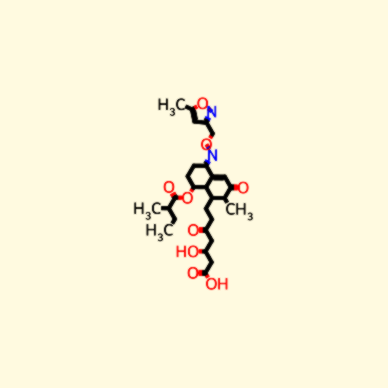 CCC(C)C(=O)OC1CCC(=NOCc2cc(C)on2)C2=CC(=O)C(C)C(CCC(=O)CC(O)CC(=O)O)C21